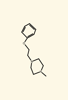 CN1CCN(CCOc2c[c]ccc2)CC1